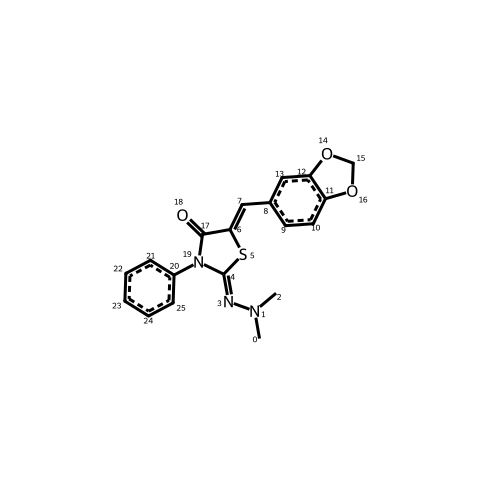 CN(C)/N=C1\S/C(=C\c2ccc3c(c2)OCO3)C(=O)N1c1ccccc1